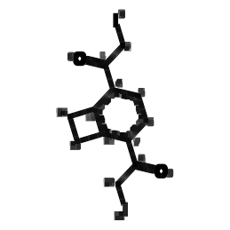 O=C(CI)c1ccc(C(=O)CI)c2c1CC2